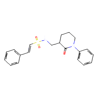 O=C1C(CNS(=O)(=O)/C=C/c2ccccc2)CCCN1c1ccccc1